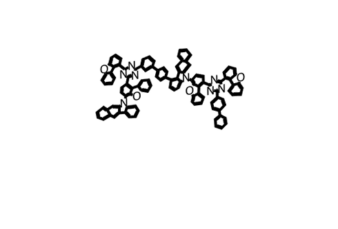 c1ccc(-c2ccc(-c3nc(-c4cccc5oc6ccccc6c45)nc(-c4ccc(-n5c6cc7ccccc7cc6c6c(-c7ccc(-c8cccc(-c9nc(-c%10cccc%11oc%12ccccc%12c%10%11)nc(-c%10ccc(-n%11c%12ccccc%12c%12cc%13ccccc%13cc%12%11)c%11oc%12ccccc%12c%10%11)n9)c8)cc7)cccc65)c5oc6ccccc6c45)n3)cc2)cc1